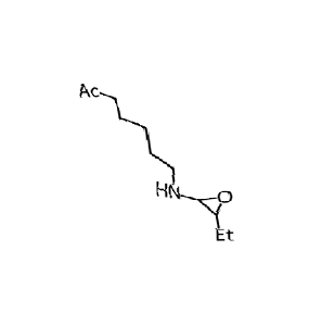 CCC1OC1NCCCCCC(C)=O